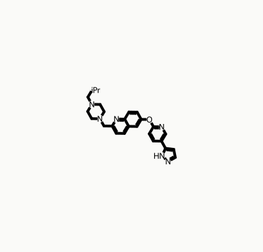 CC(C)CN1CCN(Cc2ccc3cc(Oc4ccc(-c5ccn[nH]5)cn4)ccc3n2)CC1